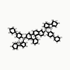 c1ccc(-c2ccc(N(c3ccc4c(ccc5c6ccc(N(c7ccc(-c8ccccc8)cc7)c7cccc8c7oc7ccccc78)cc6c6ccccc6c45)c3)c3cccc4c3oc3ccccc34)cc2)cc1